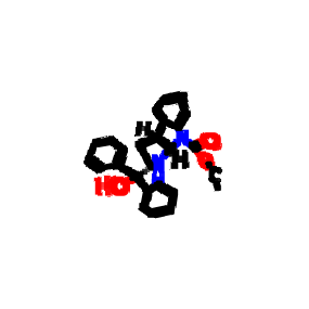 CCOC(=O)N1c2ccccc2[C@H]2C[C@@H](C(O)(c3ccccc3)c3ccccc3)N[C@H]21